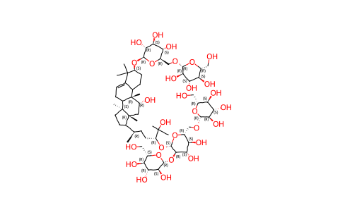 C[C@H](CC[C@@H](O[C@@H]1O[C@H](CO[C@@H]2O[C@H](CO)[C@@H](O)[C@H](O)[C@H]2O)[C@@H](O)[C@H](O)[C@H]1O[C@H]1O[C@@H](CO)[C@H](O)[C@@H](O)[C@@H]1O)C(C)(C)O)C1CC[C@@]2(C)C3CC=C4C(CC[C@H](O[C@@H]5O[C@H](CO[C@@H]6O[C@H](CO)[C@@H](O)[C@H](O)[C@H]6O)[C@@H](O)[C@H](O)[C@H]5O)C4(C)C)[C@]3(C)[C@H](O)C[C@]12C